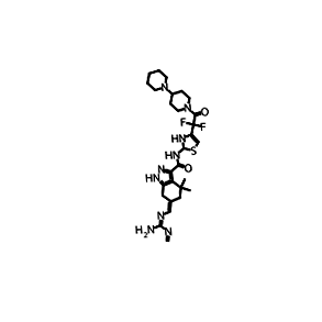 C=N/C(N)=N\C=C1/Cc2[nH]nc(C(=O)NC3NC(C(F)(F)C(=O)N4CCC(N5CCCCC5)CC4)=CS3)c2C(C)(C)C1